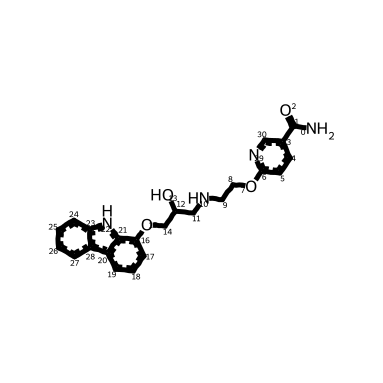 NC(=O)c1ccc(OCCNCC(O)COc2cccc3c2[nH]c2ccccc23)nc1